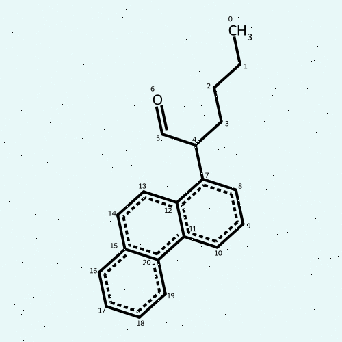 CCCCC(C=O)c1cccc2c1ccc1ccccc12